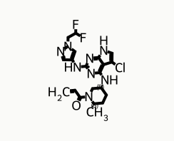 C=CC(=O)N1C[C@H](Nc2nc(Nc3cnn(CC(F)F)c3)nc3[nH]cc(Cl)c23)CC[C@@H]1C